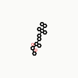 c1ccc2c(-c3c4ccccc4c(-c4ccc5cc(-c6cc7oc8ccc9c%10ccccc%10oc9c8c7c7ccccc67)ccc5c4)c4ccccc34)cccc2c1